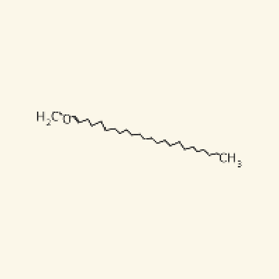 C=COC=CCCCCCCCCCCCCCCCCCCCCCC